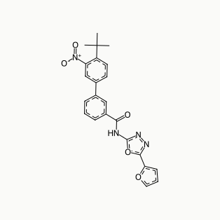 CC(C)(C)c1ccc(-c2cccc(C(=O)Nc3nnc(-c4ccco4)o3)c2)cc1[N+](=O)[O-]